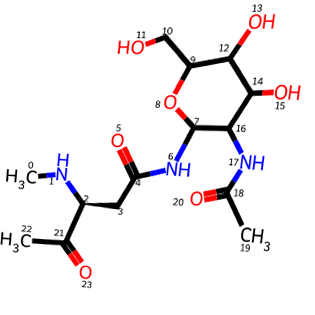 CN[C@@H](CC(=O)NC1OC(CO)C(O)C(O)C1NC(C)=O)C(C)=O